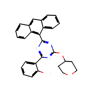 Oc1ccccc1-c1nc(OC2CCOCC2)nc(-c2c3ccccc3cc3ccccc23)n1